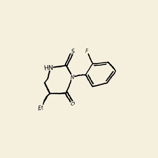 CCC1CNC(=S)N(c2ccccc2F)C1=O